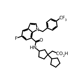 O=C(O)CC1(C2CCCC2)CCC(NC(=O)c2cc(F)cc3ccn(Cc4ccc(C(F)(F)F)cc4)c23)C1